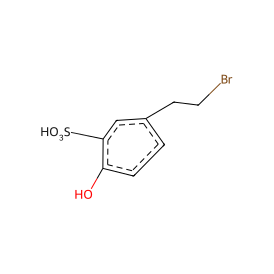 O=S(=O)(O)c1cc(CCBr)ccc1O